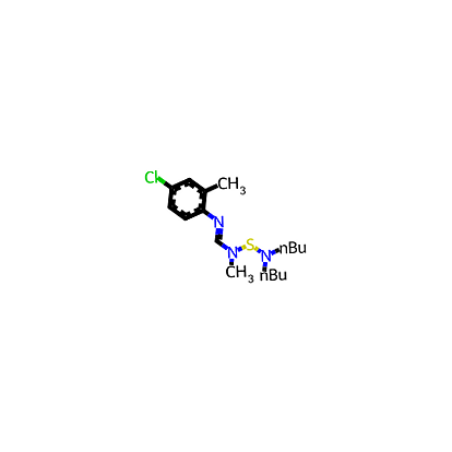 CCCCN(CCCC)SN(C)C=Nc1ccc(Cl)cc1C